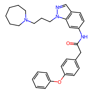 O=C(Cc1ccc(Oc2ccccc2)cc1)Nc1ccc2cnn(CCCN3CCCCCC3)c2c1